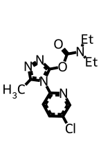 CCN(CC)C(=O)Oc1nnc(C)n1-c1ccc(Cl)cn1